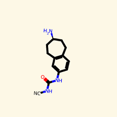 N#CNC(=O)Nc1ccc2c(c1)CC[C@@H](N)CC2